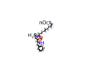 CCCCCCCC/C=C\CCCCCCCC(=O)N(C)CC(=O)CNCc1ccccc1